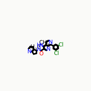 CN(C)c1c(C(=O)NC2CCc3ncccc32)cnc2c(-c3cc(Cl)cc(Cl)c3)nccc12